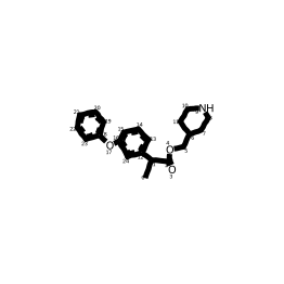 CC(C(=O)OCC1CCNCC1)c1cccc(Oc2ccccc2)c1